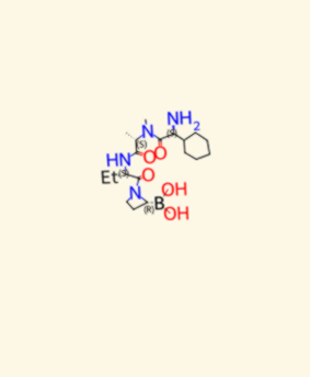 CC[C@H](NC(=O)[C@H](C)N(C)C(=O)[C@@H](N)C1CCCCC1)C(=O)N1CC[C@H]1B(O)O